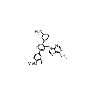 COc1ccc(-c2cc(Cn3cnc4c(N)ncnc43)c(N3CCCC(N)C3)cn2)cc1F